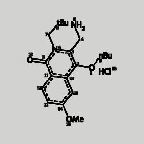 CCCCOc1c(CN)n(CC(C)(C)C)c(=O)c2ccc(OC)cc12.Cl